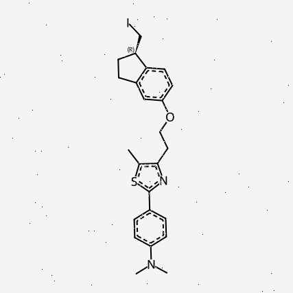 Cc1sc(-c2ccc(N(C)C)cc2)nc1CCOc1ccc2c(c1)CC[C@H]2CI